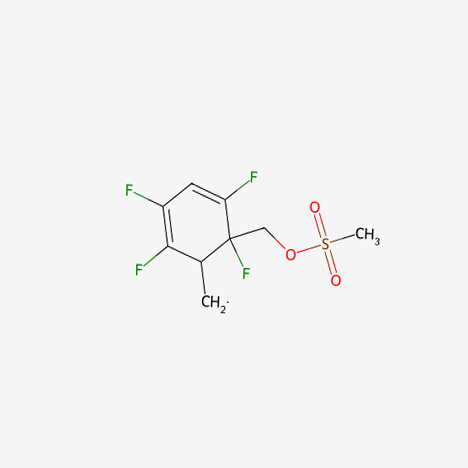 [CH2]C1C(F)=C(F)C=C(F)C1(F)COS(C)(=O)=O